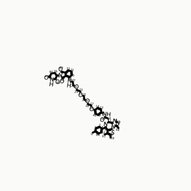 Cc1ccc(C2=N[C@@H](CC(=O)Nc3ccc(OCCOCCOCCOCCNc4cccc5c4C(=O)N(C4CCC(=O)NC4=O)C5=O)cc3)c3nnc(C)n3-c3sc(C)c(C)c32)cc1